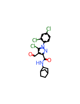 O=Cc1c(C(=O)NC2CC3CCC2C3)nn(-c2ccc(Cl)cc2Cl)c1Cl